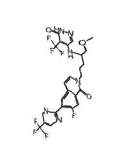 COCC(CCCn1ccc2cc(-c3ncc(C(F)(F)F)cn3)c(F)cc2c1=O)Nc1cn[nH]c(=O)c1C(F)(F)F